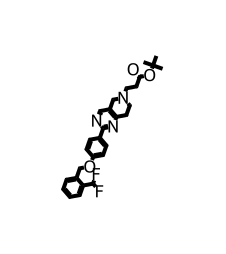 CC(C)(C)OC(=O)CCN1CCc2nc(-c3ccc(OCc4ccccc4C(F)F)cc3)ncc2C1